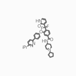 CC(C)c1ccc(-c2ccc(Oc3cc(C(=O)NC4CCN(C5CCCC5)CC4)ccc3C(F)(F)c3ccc[nH]c3=O)cc2)nn1